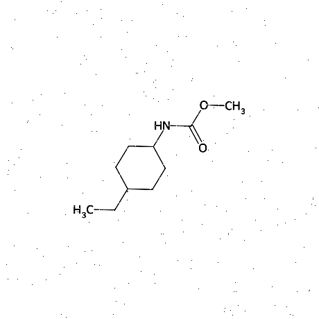 CC[C]1CCC(NC(=O)OC)CC1